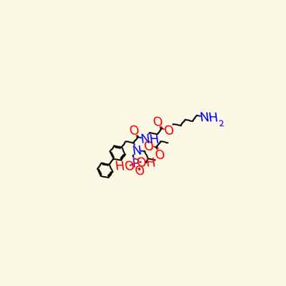 CCC(=O)OC(C(C)C)N(CP(=O)(O)O)C(Cc1ccc(-c2ccccc2)cc1)C(=O)NCCC(=O)OCCCCCN